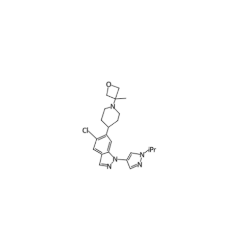 CC(C)n1cc(-n2ncc3cc(Cl)c(C4CCN(C5(C)COC5)CC4)cc32)cn1